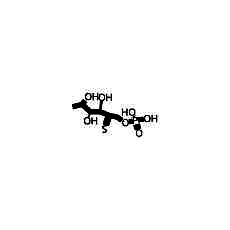 CC(O)[C@@H](O)[C@@H](O)C(=S)COP(=O)(O)O